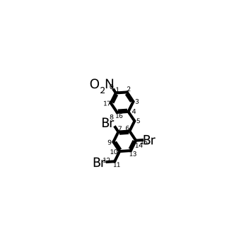 O=[N+]([O-])c1ccc(Cc2c(Br)cc(CBr)cc2Br)cc1